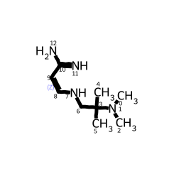 CN(C)C(C)(C)CN/C=C\C(=N)N